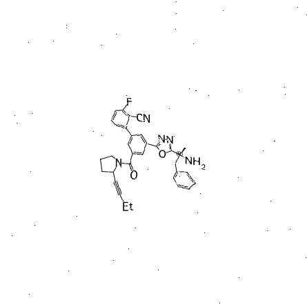 CCC#CC1CCCN1C(=O)c1cc(-c2nnc([C@](C)(N)Cc3ccccc3)o2)cc(-c2cccc(F)c2C#N)c1